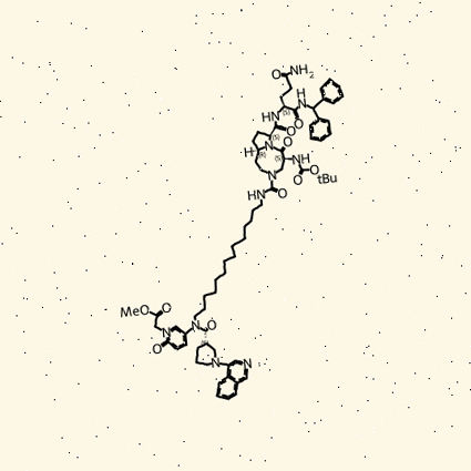 COC(=O)Cn1cc(N(CCCCCCCCCCCCCCNC(=O)N2CC[C@H]3CC[C@@H](C(=O)N[C@@H](CCC(N)=O)C(=O)NC(c4ccccc4)c4ccccc4)N3C(=O)[C@@H](NC(=O)OC(C)(C)C)C2)C(=O)[C@H]2CCCN(c3cncc4ccccc34)C2)ccc1=O